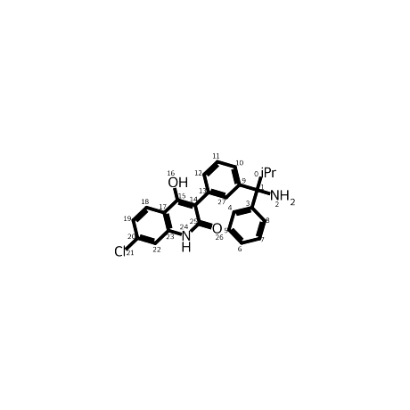 CC(C)C(N)(c1ccccc1)c1cccc(-c2c(O)c3ccc(Cl)cc3[nH]c2=O)c1